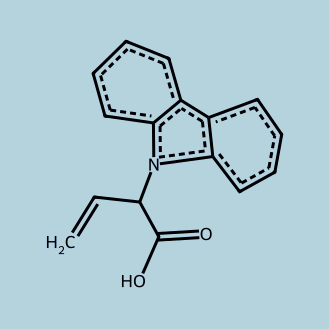 C=CC(C(=O)O)n1c2ccccc2c2ccccc21